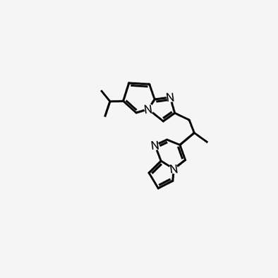 CC(C)c1ccc2nc(CC(C)c3cnc4cccn4c3)cn2c1